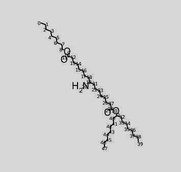 CCCCCCCCCOC(=O)CCCCCCCC(N)CCCCCCCC(=O)OC(CCCCCCCC)CCCCCCCC